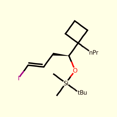 CCCC1([C@H](C/C=C/I)O[Si](C)(C)C(C)(C)C)CCC1